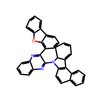 C1=CCC2C(=C1)c1c(ccc3ccccc13)N2c1nc2ccccc2nc1-c1cccc2c1oc1ccccc12